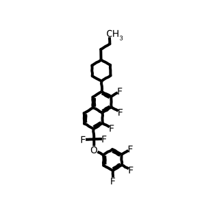 CCCC1CCC(c2cc3ccc(C(F)(F)Oc4cc(F)c(F)c(F)c4)c(F)c3c(F)c2F)CC1